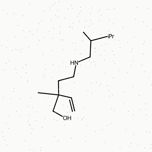 C=CC(C)(CO)CCNCC(C)C(C)C